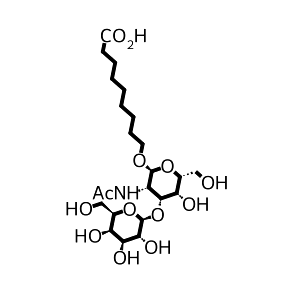 CC(=O)N[C@@H]1[C@@H](OCCCCCCCCC(=O)O)O[C@H](CO)[C@H](O)[C@@H]1O[C@@H]1O[C@H](CO)[C@H](O)[C@H](O)[C@H]1O